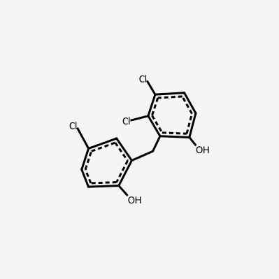 Oc1ccc(Cl)cc1Cc1c(O)ccc(Cl)c1Cl